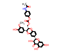 COc1cc([C@@H]2Oc3cc([C@@H]4Oc5cc(O)cc(O)c5C(=O)[C@H]4O)ccc3O[C@H]2COC(=O)Oc2ccc(NC(C)=O)cc2)ccc1O